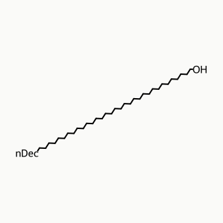 CCCCCCCCCCCCCCCCCCCCCCCCCCCCCCCCCCCCCCCCCCCO